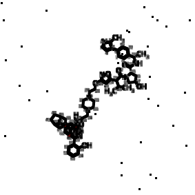 Cc1nccn1-c1ccc([C@H](C)NC(=O)[C@@H]2C[C@@H](O)CN2C(=O)C(c2cc(OCCN3CCN(CCOc4cc(N5C6CCC5CN(c5cc(-c7ccccc7O)nnc5N)C6)ccn4)CC3)no2)C(C)C)cc1